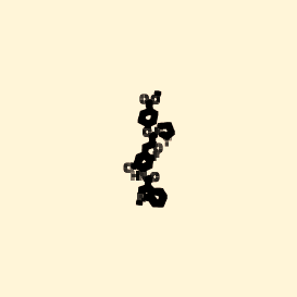 COC(=O)C1CCC(OC(C(=O)Cc2cc(Cl)c(NC(=O)c3cn(C)c4ccccc34)cc2F)N2CCC[C@@H]2C)CC1